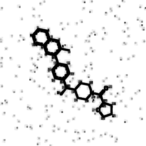 Cc1cc2cccnc2cc1-c1ccc([C@H](C)C2CCN(C(=O)[C@H]3CCCO3)CC2)cc1